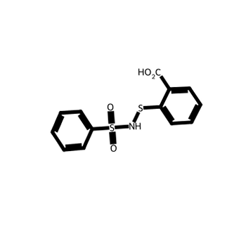 O=C(O)c1ccccc1SNS(=O)(=O)c1ccccc1